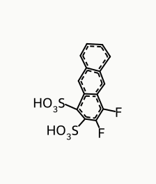 O=S(=O)(O)c1c(F)c(F)c2cc3ccccc3cc2c1S(=O)(=O)O